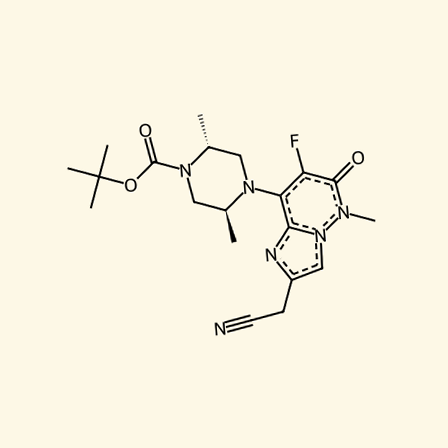 C[C@@H]1CN(c2c(F)c(=O)n(C)n3cc(CC#N)nc23)[C@@H](C)CN1C(=O)OC(C)(C)C